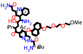 CC[C@H](C)[C@H](N)C(=O)NCc1ncc(C(=O)C(CC(O)C(N)C(C(=O)[C@@H](N)CC(N)=O)C2CCCCC2)C(C)C)c(C(C)=O)c1Oc1cccc2c(OCCOCCOCCOC)cccc12